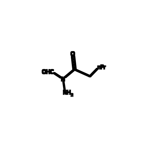 CCCCC(=O)N(N)C=O